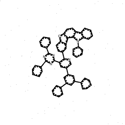 c1ccc(-c2cc(-c3ccccc3)cc(-c3cnc(-c4ccc5oc6ccc7c8ccccc8n(-c8ccccc8)c7c6c5c4)c(-c4nc(-c5ccccc5)nc(-c5ccccc5)n4)c3)c2)cc1